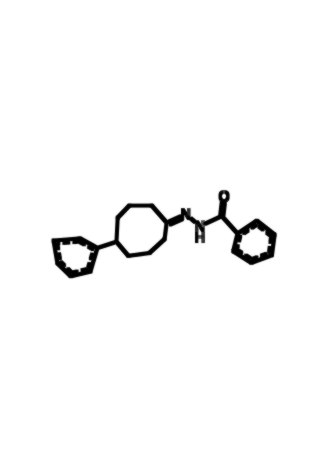 O=C(NN=C1CCCC(c2ccccc2)CCC1)c1ccccc1